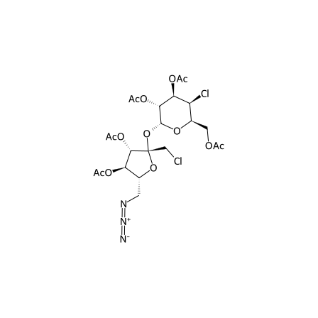 CC(=O)OC[C@H]1O[C@H](O[C@]2(CCl)O[C@H](CN=[N+]=[N-])[C@@H](OC(C)=O)[C@@H]2OC(C)=O)[C@H](OC(C)=O)[C@@H](OC(C)=O)[C@H]1Cl